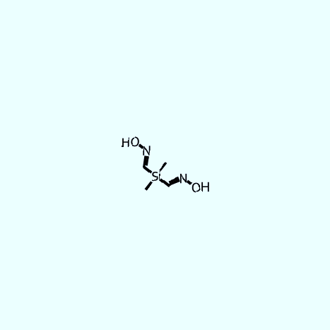 C[Si](C)(C=NO)C=NO